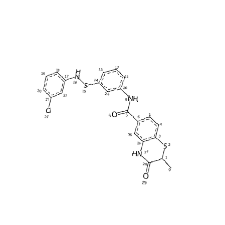 CC1Sc2ccc(C(=O)Nc3cccc(SNc4cccc(Cl)c4)c3)cc2NC1=O